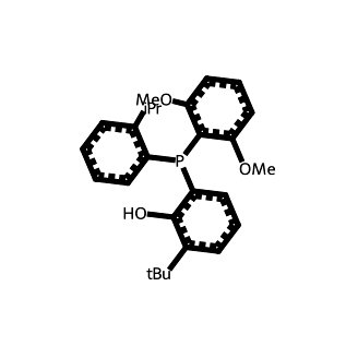 COc1cccc(OC)c1P(c1ccccc1C(C)C)c1cccc(C(C)(C)C)c1O